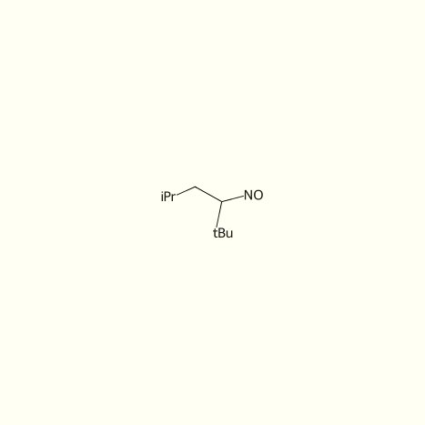 CC(C)CC(N=O)C(C)(C)C